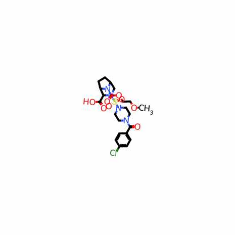 COCCOC(=O)N1C2CCC1C(C(=O)O)N(S(=O)(=O)N1CCN(C(=O)c3ccc(Cl)cc3)CC1)C2